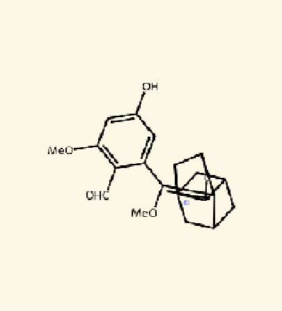 CO/C(=C1\C2CC3CC4(C2)CC1CC34)c1cc(O)cc(OC)c1C=O